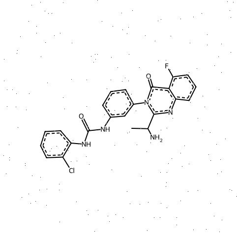 CC(N)c1nc2cccc(F)c2c(=O)n1-c1cccc(NC(=O)Nc2ccccc2Cl)c1